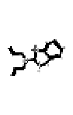 C=CCN(CC=C)C1NCc2ccccc2N1